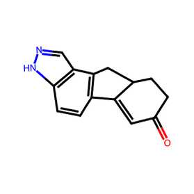 O=C1C=C2c3ccc4[nH]ncc4c3CC2CC1